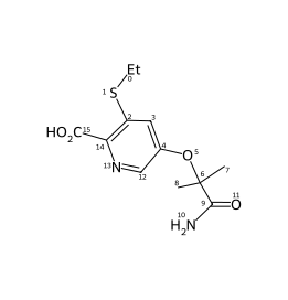 CCSc1cc(OC(C)(C)C(N)=O)cnc1C(=O)O